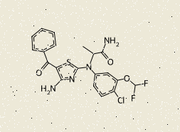 CC(C(N)=O)N(c1ccc(Cl)c(OC(F)F)c1)c1nc(N)c(C(=O)c2ccccc2)s1